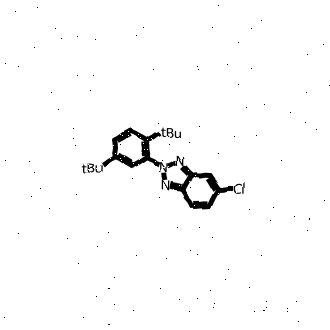 CC(C)(C)c1ccc(C(C)(C)C)c(-n2nc3ccc(Cl)cc3n2)c1